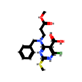 COC(=O)CCN(Cc1ccccc1)c1nc(SC)nc(Cl)c1C(=O)O